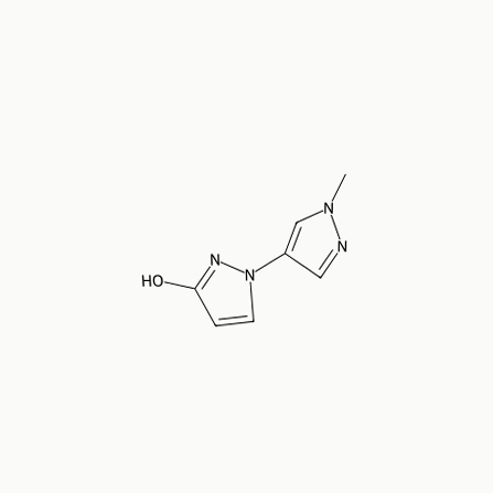 Cn1cc(-n2ccc(O)n2)cn1